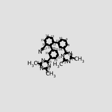 Cc1nc(C)nc(-c2cccc(-c3cccc(C#N)c3-c3cccc(-c4nc(C)nc(C)n4)c3)c2)n1